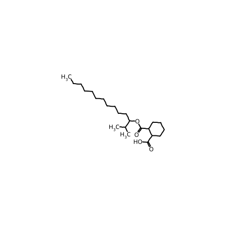 CCCCCCCCCCCC(OC(=O)C1CCCCC1C(=O)O)C(C)C